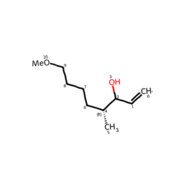 [CH]=CC(O)[C@H](C)CCCCOC